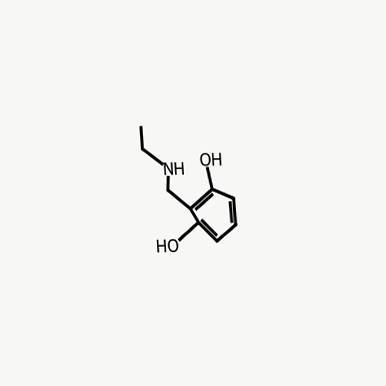 CCNCc1c(O)cccc1O